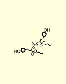 CCCCOC(=O)C(CCc1ccc(O)cc1)CSC(=S)SCC(CCc1ccc(O)cc1)C(=O)OCCCC